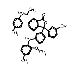 CCNc1ccc(C)cc1.COc1cc(C)ccc1Nc1cccc(C2(c3cccc(O)c3)OC(=O)c3ccccc32)c1